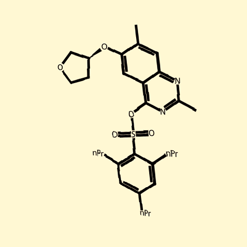 CCCc1cc(CCC)c(S(=O)(=O)Oc2nc(C)nc3cc(C)c(O[C@H]4CCOC4)cc23)c(CCC)c1